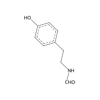 O=[C]NCCc1ccc(O)cc1